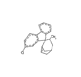 CC1CC2CC=C(C2)C12c1ccccc1-c1ccc(Cl)cc12